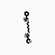 c1ccc(-c2cn(CCCCCCCn3cc(-c4cccnc4)nn3)nn2)cc1